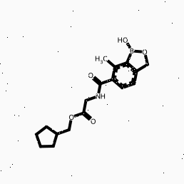 Cc1c(C(=O)NCC(=O)OCC2CCCC2)ccc2c1B(O)OC2